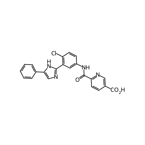 O=C(O)c1ccc(C(=O)Nc2ccc(Cl)c(-c3ncc(-c4ccccc4)[nH]3)c2)nc1